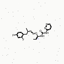 C/C=C(/NC(=O)Nc1cccnn1)ON=NC(C)Cc1ccc(F)cc1F